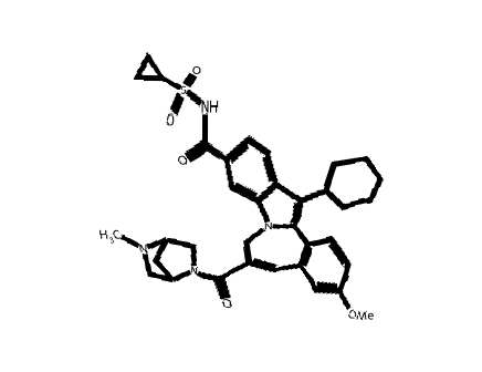 COc1ccc2c(c1)C=C(C(=O)N1CC3CC1CN3C)Cn1c-2c(C2CCCCC2)c2ccc(C(=O)NS(=O)(=O)C3CC3)cc21